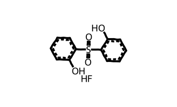 F.O=S(=O)(c1ccccc1O)c1ccccc1O